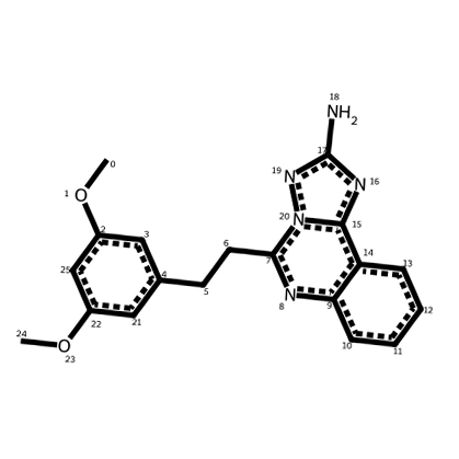 COc1cc(CCc2nc3ccccc3c3nc(N)nn23)cc(OC)c1